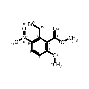 COC(=O)c1c(OC)ccc([N+](=O)[O-])c1CBr